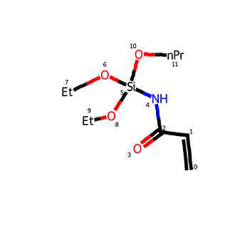 C=CC(=O)N[Si](OCC)(OCC)OCCC